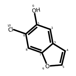 Oc1cc2ccoc2cc1Cl